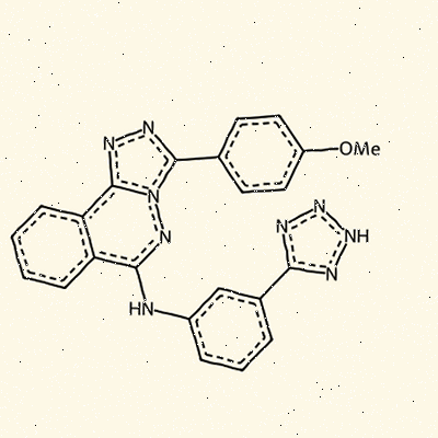 COc1ccc(-c2nnc3c4ccccc4c(Nc4cccc(-c5nn[nH]n5)c4)nn23)cc1